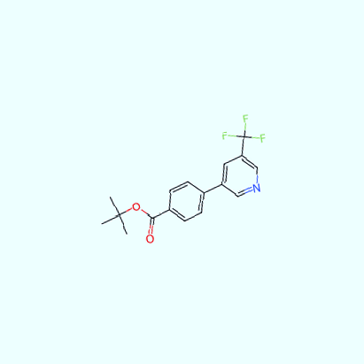 CC(C)(C)OC(=O)c1ccc(-c2cncc(C(F)(F)F)c2)cc1